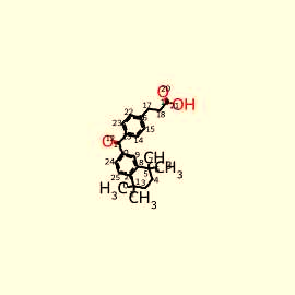 CC1(C)CCC(C)(C)c2cc(C(=O)c3ccc(CCC(=O)O)cc3)ccc21